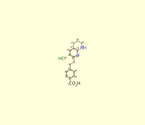 Cl.O=C(O)c1ccc(CCc2ccc3c(n2)NCCC3)cc1